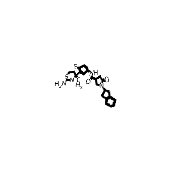 CC1(c2cc(NC(=O)C3CC(=O)N(C4Cc5ccccc5C4)C3)ccc2F)CCSC(N)=N1